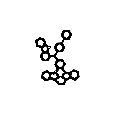 c1ccc(-c2ccc(N(c3ccc4c(c3)n3c5ccccc5c5ccc6c7ccccc7n4c6c53)c3cccc4c3oc3ccccc34)cc2)cc1